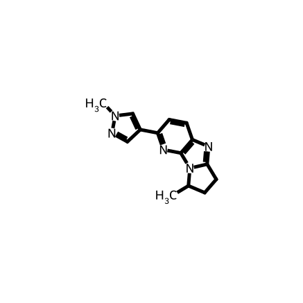 CC1CCc2nc3ccc(-c4cnn(C)c4)nc3n21